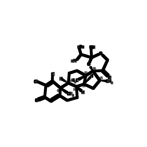 CCCCC(CCC)C1(O)OCC(=O)[C@@]2(O1)[C@H](C)C[C@H]1[C@@H]3CCC4=CC(=O)C(Cl)=C(Cl)[C@]4(C)[C@H]3CC[C@@]12C